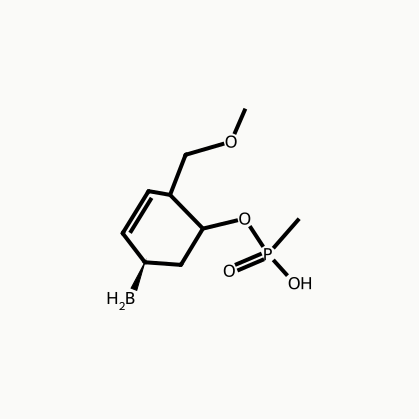 B[C@H]1C=CC(COC)C(OP(C)(=O)O)C1